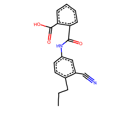 CCCc1ccc(NC(=O)c2ccccc2C(=O)O)cc1C#N